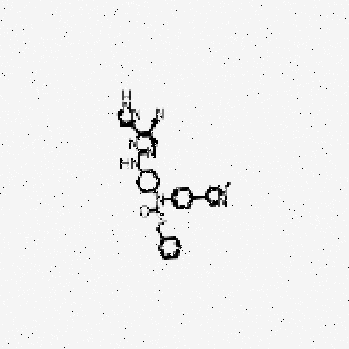 Cn1cc(-c2ccc(N(C(=O)SCc3ccccc3)C3CCC(Nc4ncc(C#N)c(-c5cc[nH]n5)n4)CC3)cc2)cn1